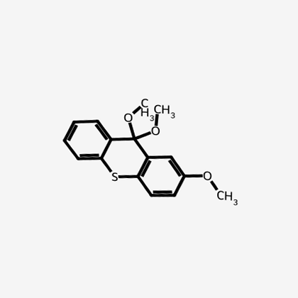 COc1ccc2c(c1)C(OC)(OC)c1ccccc1S2